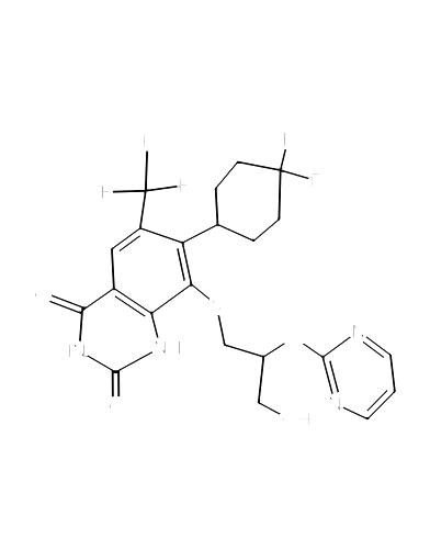 O=c1[nH]c(=O)c2cc(C(F)(F)F)c(C3CCC(F)(F)CC3)c(SCC(CO)Oc3ncccn3)c2[nH]1